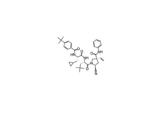 C=C[C@]1(C(=O)Nc2ccccc2)C[C@@H](C#N)N(C(=O)[C@H](CC(C)(C)C)NC(=O)[C@H](CC2CC2)NC(=O)c2ccc(C(C)(C)C)cc2)C1